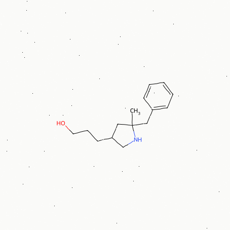 CC1(Cc2ccccc2)CC(CCCO)CN1